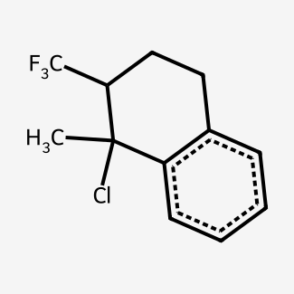 CC1(Cl)c2ccccc2CCC1C(F)(F)F